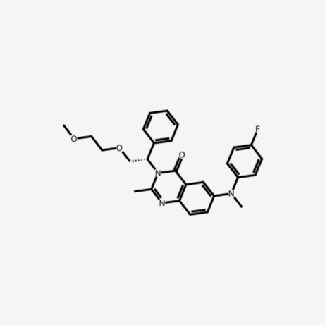 COCCOC[C@H](c1ccccc1)n1c(C)nc2ccc(N(C)c3ccc(F)cc3)cc2c1=O